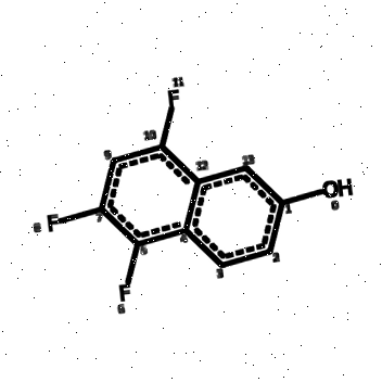 Oc1ccc2c(F)c(F)cc(F)c2c1